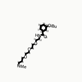 CNCCCOCCOCCOCCNC(=O)c1cccc(OCC(C)C)c1